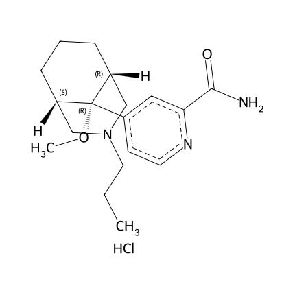 CCCN1C[C@H]2CCC[C@@H](C1)[C@]2(OC)c1ccnc(C(N)=O)c1.Cl